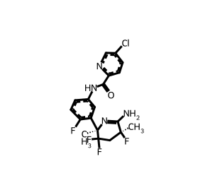 C[C@]1(F)CC(F)(F)[C@@](C)(c2cc(NC(=O)c3ccc(Cl)cn3)ccc2F)N=C1N